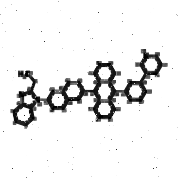 CCc1nc2ccccc2n1-c1ccc2cc(-c3c4ccccc4c(-c4cccc(-c5cccnc5)c4)c4ccccc34)ccc2c1